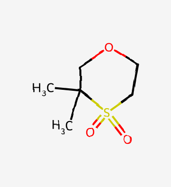 CC1(C)COCCS1(=O)=O